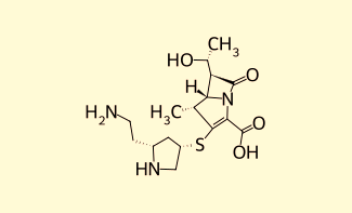 C[C@@H](O)[C@H]1C(=O)N2C(C(=O)O)=C(S[C@@H]3CN[C@H](CCN)C3)[C@H](C)[C@H]12